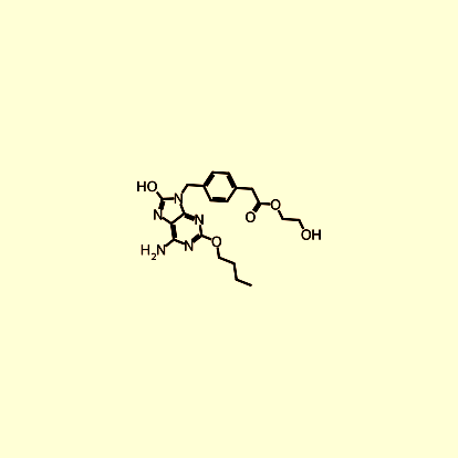 CCCCOc1nc(N)c2nc(O)n(Cc3ccc(CC(=O)OCCO)cc3)c2n1